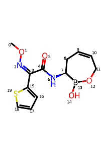 CO/N=C(\C(=O)N[C@H]1CC=CCOB1O)c1cccs1